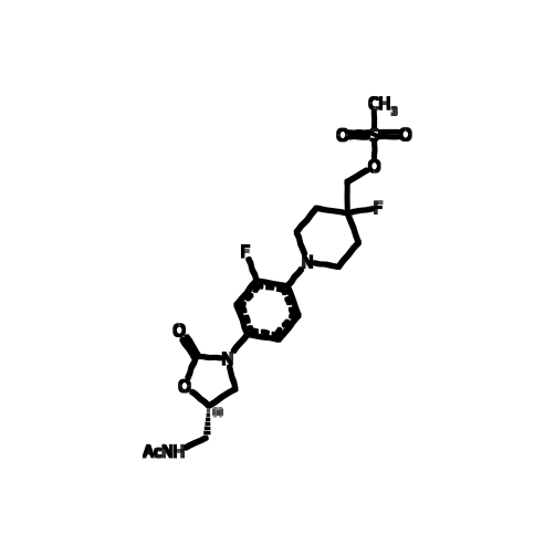 CC(=O)NC[C@H]1CN(c2ccc(N3CCC(F)(COS(C)(=O)=O)CC3)c(F)c2)C(=O)O1